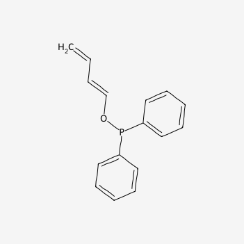 C=CC=COP(c1ccccc1)c1ccccc1